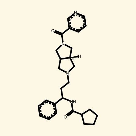 O=C(NC(CCN1CC2CN(C(=O)c3cccnc3)C[C@@H]2C1)c1ccccc1)C1CCCC1